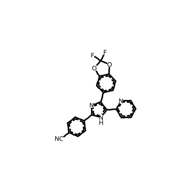 N#Cc1ccc(-c2nc(-c3ccc4c(c3)OC(F)(F)O4)c(-c3ccccn3)[nH]2)cc1